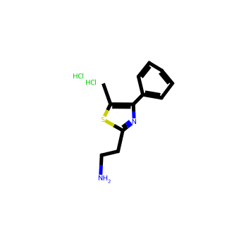 Cc1sc(CCN)nc1-c1ccccc1.Cl.Cl